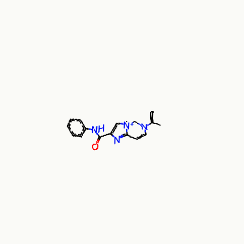 C=C(C)N1C=CC2=NC(C(=O)Nc3ccccc3)=C[N+]2C1